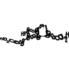 O=C(O)c1ccc2cc(C(=O)OCCCCOC(=O)c3ccc4cc(C(=O)OCCCCOC(=O)c5ccc6cc(C(=O)O)ccc6c5)ccc4c3)ccc2c1.O=C(OCCS)c1ccc2cc(C(=O)OCCS)ccc2c1